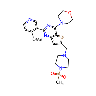 COc1ccncc1-c1nc(N2CCOCC2)c2sc(CN3CCN(S(C)(=O)=O)CC3)cc2n1